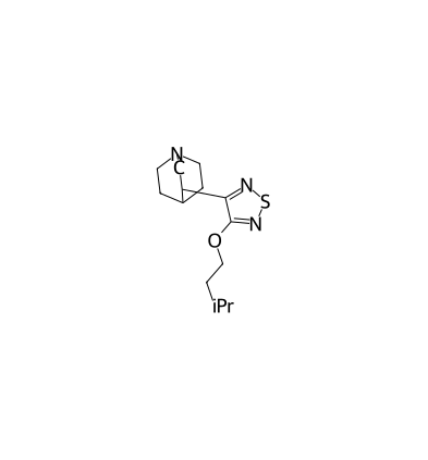 CC(C)CCOc1nsnc1C1CN2CCC1CC2